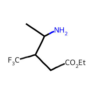 CCOC(=O)CC(C(C)N)C(F)(F)F